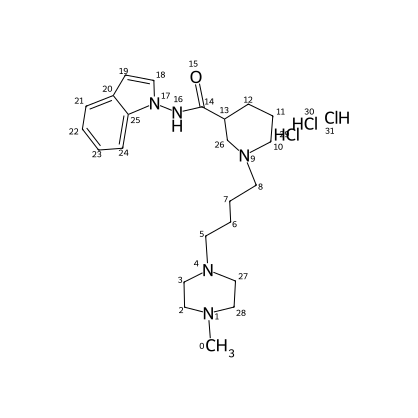 CN1CCN(CCCCN2CCCC(C(=O)Nn3ccc4ccccc43)C2)CC1.Cl.Cl.Cl